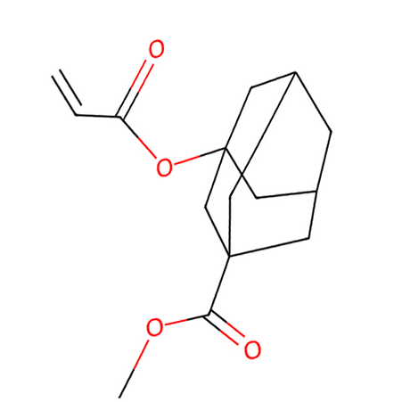 C=CC(=O)OC12CC3CC(C1)CC(C(=O)OC)(C3)C2